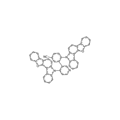 N#Cc1ccc(-n2c3ccccc3c3c4oc5ccccc5c4ccc32)c(-c2cnccc2-n2c3ccccc3c3c4oc5ccccc5c4ccc32)c1